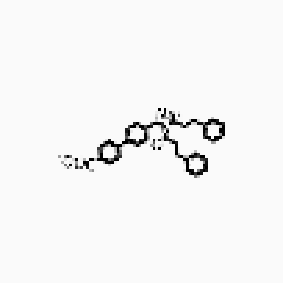 O=C([O-])c1ccc(-c2ccc(CN(CCCc3ccccc3)C(=O)CCc3ccccc3)cc2)cc1.[Na+]